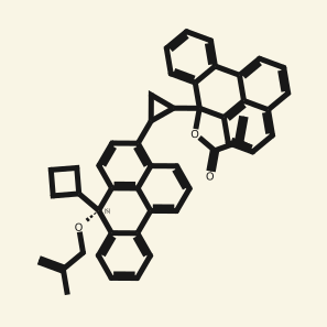 C=C(C)CO[C@@]1(C2CCC2)c2ccccc2-c2cccc3c(C4CC4C4(OC(=O)C(=C)C)c5ccccc5-c5cccc6cccc4c56)ccc1c23